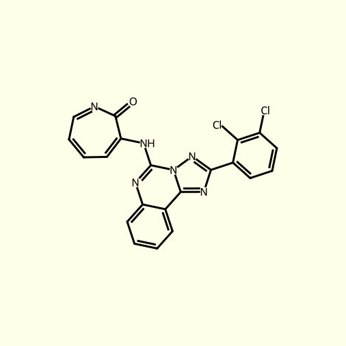 O=c1nccccc1Nc1nc2ccccc2c2nc(-c3cccc(Cl)c3Cl)nn12